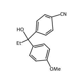 CCC(O)(c1ccc(C#N)cc1)c1ccc(OC)cc1